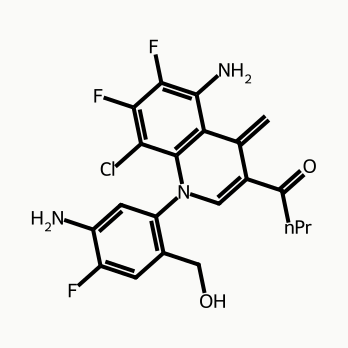 C=C1C(C(=O)CCC)=CN(c2cc(N)c(F)cc2CO)c2c(Cl)c(F)c(F)c(N)c21